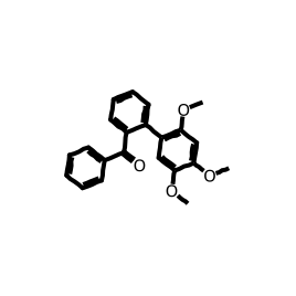 COc1cc(OC)c(-c2ccccc2C(=O)c2ccccc2)cc1OC